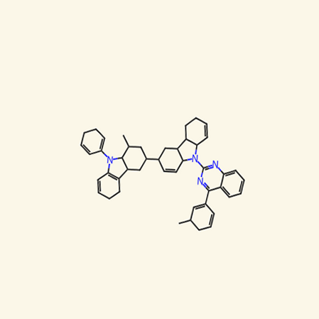 CC1C=C(c2nc(N3C4C=CCCC4C4CC(C5CC(C)C6C(C5)C5=C(C=CCC5)N6C5=CCCC=C5)C=CC43)nc3ccccc23)C=CC1